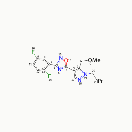 COCc1c(-c2nc(-c3cc(F)ccc3F)no2)cnn1CC(C)C